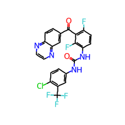 O=C(Nc1ccc(Cl)c(C(F)(F)F)c1)Nc1ccc(F)c(C(=O)c2ccc3nccnc3c2)c1F